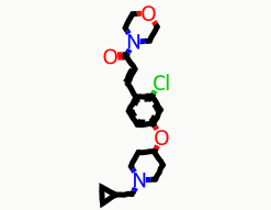 O=C(C=Cc1ccc(OC2CCN(CC3CC3)CC2)cc1Cl)N1CCOCC1